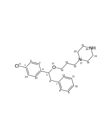 Clc1ccc(C(Cc2ccccc2)OCCCN2CCNCC2)cc1